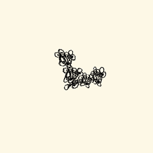 O=P12[O][Al]([O]1)[O]2.[O]=[Mo]1(=[O])[O][Mo](=[O])(=[O])[O][Mo](=[O])(=[O])[O]1.[O]=[Mo]1(=[O])[O][Mo](=[O])(=[O])[O][Mo](=[O])(=[O])[O]1.[O]=[Mo]1(=[O])[O][Mo](=[O])(=[O])[O][Mo](=[O])(=[O])[O]1.[O]=[Mo]1(=[O])[O][Mo](=[O])(=[O])[O][Mo](=[O])(=[O])[O]1